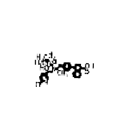 C[C@H](Cc1ccc(-c2ccc(C(=O)O)c3ccccc23)cc1)N(C[C@@H](O)c1ccc(Cl)nc1)C(=O)OC(C)(C)C